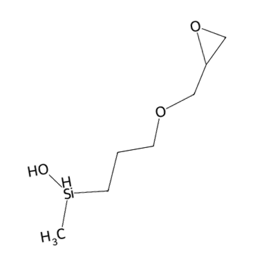 C[SiH](O)CCCOCC1CO1